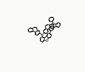 c1ccc(-n2c3ccccc3c3cc(-c4ccc5oc6cccc(N(c7ccc8c(ccc9ccccc98)c7)c7ccc8c(ccc9ccccc98)c7)c6c5c4)ccc32)cc1